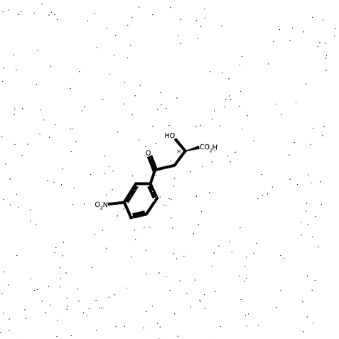 O=C(C[C@@H](O)C(=O)O)c1cccc([N+](=O)[O-])c1